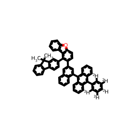 [2H]c1c([2H])c([2H])c(-c2c3ccccc3c(-c3cc(-c4ccc5oc6ccccc6c5c4-c4ccc5c(c4)C(C)(C)c4ccccc4-5)cc4ccccc34)c3ccccc23)c([2H])c1[2H]